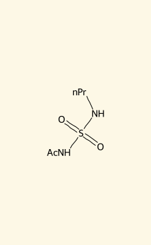 CCCNS(=O)(=O)NC(C)=O